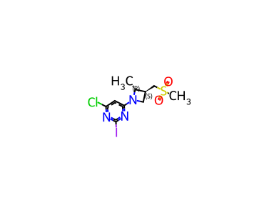 C[C@@H]1[C@@H](CS(C)(=O)=O)CN1c1cc(Cl)nc(I)n1